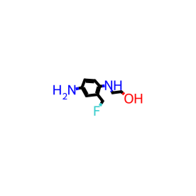 Nc1ccc(NCCO)c(CF)c1